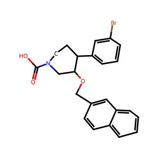 O=C(O)N1CCC(c2cccc(Br)c2)C(OCc2ccc3ccccc3c2)C1